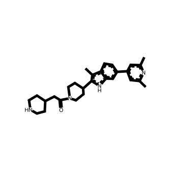 Cc1cc(-c2ccc3c(C)c(C4CCN(C(=O)CC5CCNCC5)CC4)[nH]c3c2)cc(C)n1